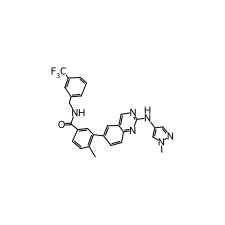 Cc1ccc(C(=O)NCc2cccc(C(F)(F)F)c2)cc1-c1ccc2nc(Nc3cnn(C)c3)ncc2c1